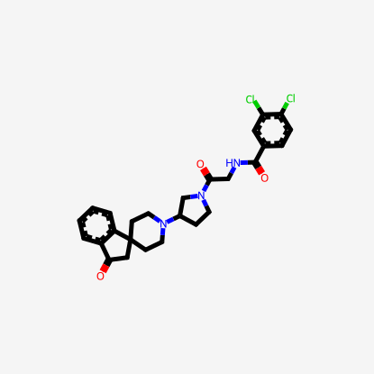 O=C(NCC(=O)N1CCC(N2CCC3(CC2)CC(=O)c2ccccc23)C1)c1ccc(Cl)c(Cl)c1